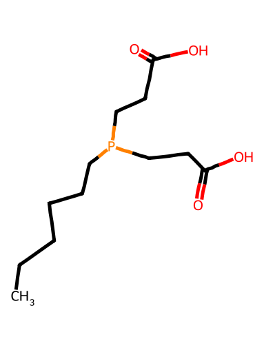 CCCCCCP(CCC(=O)O)CCC(=O)O